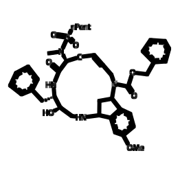 CCCCCS(=O)(=O)N(C)[C@H]1CC=CCN(C(=O)OCc2ccccc2)C2CC(NC[C@@H](O)[C@H](Cc3ccccc3)NC1=O)c1cc(OC)ccc12